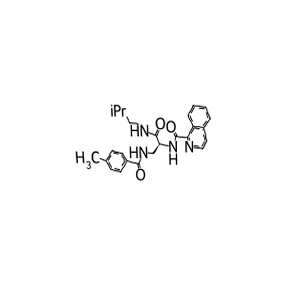 Cc1ccc(C(=O)NC[C@H](NC(=O)c2nccc3ccccc23)C(=O)NCCC(C)C)cc1